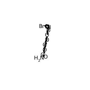 NC(=O)OCCOCCOCCOCCOCCOc1cc(Br)ccn1